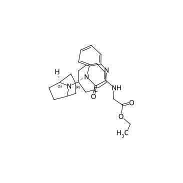 CCOC(=O)CNc1nc2ccccc2n([C@@H]2CC3CC[C@@H](C2)N3C2CCCCCCC2)c1=O